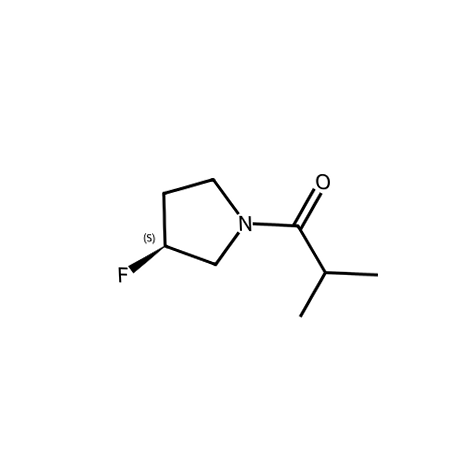 CC(C)C(=O)N1CC[C@H](F)C1